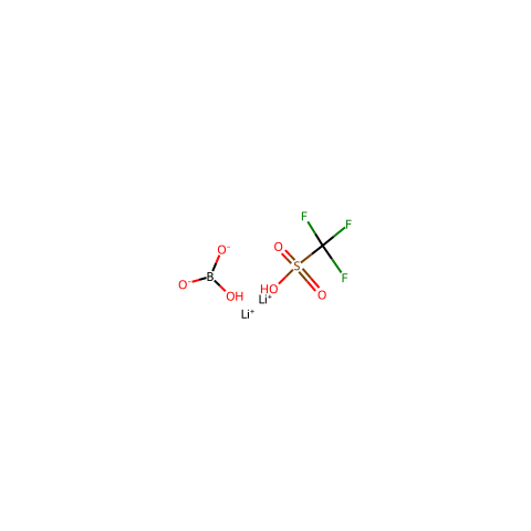 O=S(=O)(O)C(F)(F)F.[Li+].[Li+].[O-]B([O-])O